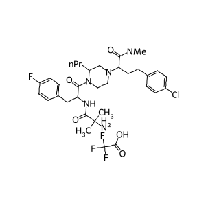 CCCC1CN(C(CCc2ccc(Cl)cc2)C(=O)NC)CCN1C(=O)C(Cc1ccc(F)cc1)NC(=O)C(C)(C)N.O=C(O)C(F)(F)F